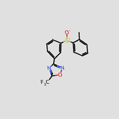 Cc1ccccc1[S+]([O-])c1[c]ccc(-c2noc(C(F)(F)F)n2)c1